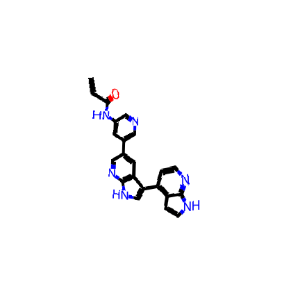 C=CC(=O)Nc1cncc(-c2cnc3[nH]cc(-c4ccnc5[nH]ccc45)c3c2)c1